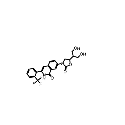 O=C1OC(C(CO)CO)CN1c1ccc2cc(-c3ccccc3C(F)(F)F)[nH]c(=O)c2c1